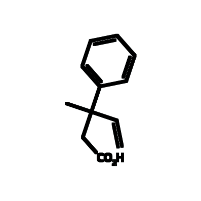 C=CC(C)(CC(=O)O)c1ccccc1